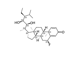 CC[C@@H](C(C)C)[C@H](O)[C@@H](O)[C@@H](C)[C@H]1CC[C@H]2[C@@H]3C[C@H](F)C4=CC(=O)C=C[C@]4(C)[C@H]3CC[C@]12C